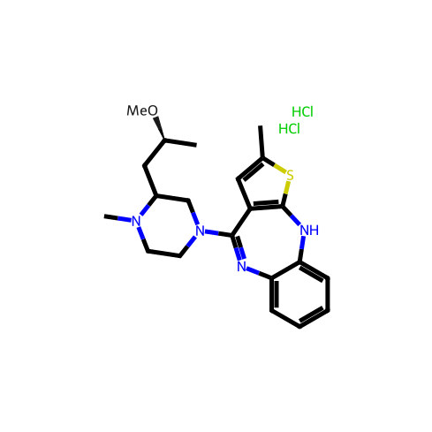 CO[C@@H](C)CC1CN(C2=Nc3ccccc3Nc3sc(C)cc32)CCN1C.Cl.Cl